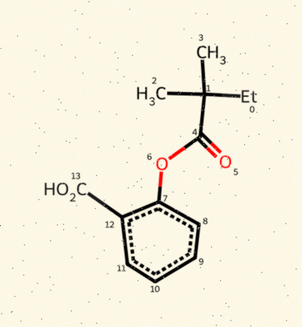 CCC(C)(C)C(=O)Oc1ccccc1C(=O)O